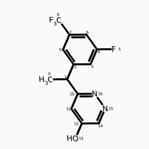 CC(c1cc(F)cc(C(F)(F)F)c1)c1cc(O)cnn1